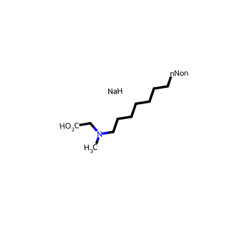 CCCCCCCCCCCCCCCCN(C)CC(=O)O.[NaH]